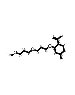 C=C(C)C1CCC(C)CC1OCCCOCCCOC